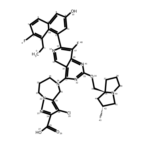 CCc1c(F)ccc2cc(O)cc(-c3ncc4c(N5CCCn6nc(C(=O)O)c(Cl)c6C5)nc(OC[C@@]56CCCN5C[C@H](F)C6)nc4c3F)c12